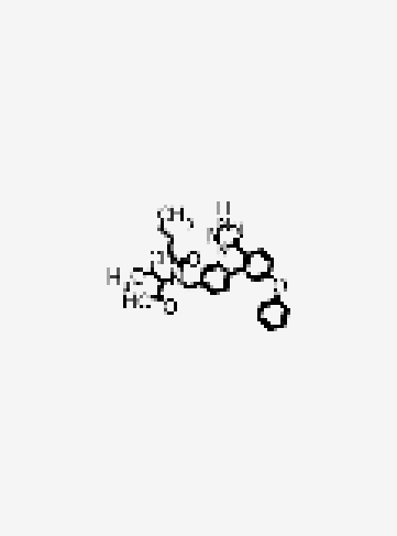 CCCCC(=O)N(Cc1ccc(-c2cc(Oc3ccccc3)ccc2-c2nn[nH]n2)cc1)C(C(=O)O)C(C)C